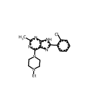 CCN1CCN(c2nc(C)nc3[nH]c(-c4ccccc4Cl)nc23)CC1